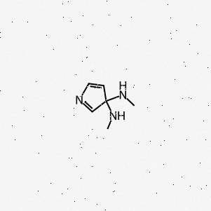 CNC1(NC)C=CN=C1